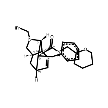 CC(C)CN1C[C@@H]2C[C@H]3C=N[C@]2(C(=O)NCC2CCCCO2)[C@@H]1[C@@H]3Cc1ccccc1